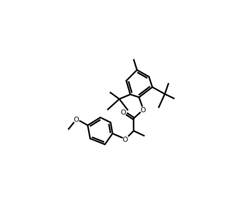 COc1ccc(OC(C)C(=O)Oc2c(C(C)(C)C)cc(C)cc2C(C)(C)C)cc1